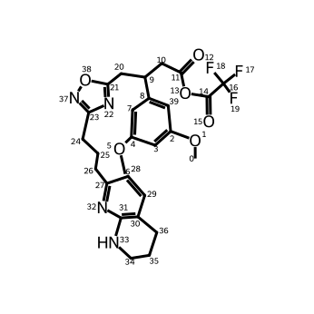 COc1cc(OC)cc(C(CC(=O)OC(=O)C(F)(F)F)Cc2nc(CCCc3ccc4c(n3)NCCC4)no2)c1